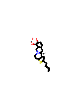 CCCCc1cc2c(s1)CCN1Cc3c(ccc(O)c3OC)C[C@@H]21